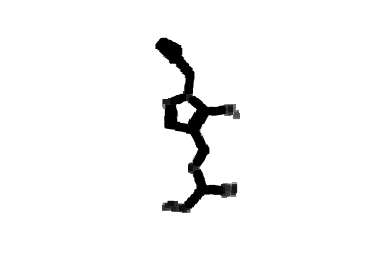 C#CCn1ncc(COC(O)CCCCCCCCC)c1C(F)(F)F